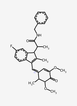 COC1=C/C(=C\C2=C(C)C(C(C)C(=O)NCc3ccccc3)c3cc(F)ccc32)C(C)C(OC)C1=O